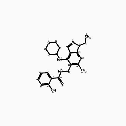 CCn1ncc2c(NC3CCOCC3)c(CNC(=O)c3ccccc3O)c(C)nc21